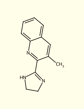 Cc1cc2ccccc2nc1C1=NCCN1